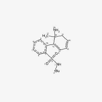 CC(C)(C)NS(=O)(=O)c1ccccc1C1=CC=CCC1(C)N